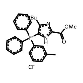 COC(=O)c1nc(C(C)(C)C)c([P+](c2ccccc2)(c2ccccc2)c2cccc(C)c2)[nH]1.[Cl-]